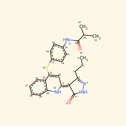 CCCC1=NNC(=O)/C1=C1/C=C(Sc2ccc(NC(=O)C(C)C)cc2)c2ccccc2N1